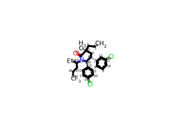 C=CC[C@@]1(C)C[C@H](c2cccc(Cl)c2)[C@@H](c2ccc(Cl)cc2)N(C(CC)CCC(F)(F)F)C1=O